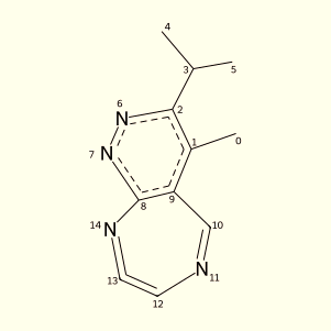 Cc1c(C(C)C)nnc2c1C=NC=C=N2